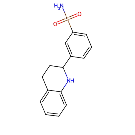 NS(=O)(=O)c1cccc(C2CCc3ccccc3N2)c1